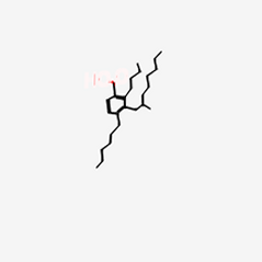 CCCCCCc1ccc(C(=O)O)c(CCCC)c1CC(C)CCCCCC